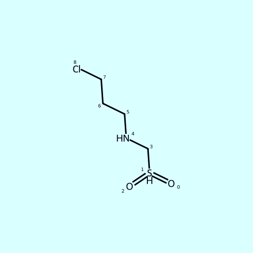 O=[SH](=O)CNCCCCl